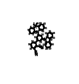 CC1(C)c2ccccc2N(c2cc(-c3cccc(C#N)c3C#N)cc(-n3c4ccccc4c4ccccc43)c2)c2ccccc21